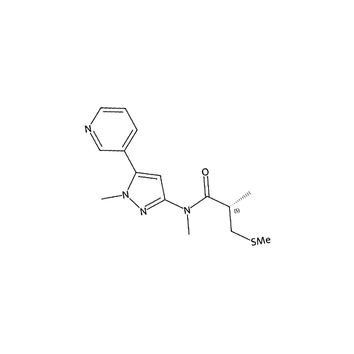 CSC[C@@H](C)C(=O)N(C)c1cc(-c2cccnc2)n(C)n1